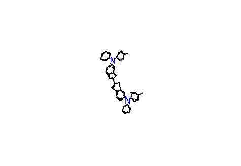 Cc1ccc(N(c2ccccc2)c2ccc3c(c2)CC(C2=Cc4ccc(N(c5ccccc5)c5ccc(C)cc5)cc4C2)=C3)cc1